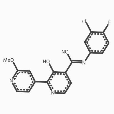 COc1cc(-c2nccc(/C(C#N)=N/c3ccc(F)c(Cl)c3)c2O)ccn1